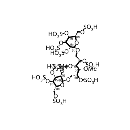 CO[C@@H]([C@H](OC)[C@@H](CO[C@@H]1O[C@H](COS(=O)(=O)O)[C@@H](OS(=O)(=O)O)[C@H](OS(=O)(=O)O)[C@H]1OS(=O)(=O)O)OS(=O)(=O)O)[C@@H](CO[C@@H]1O[C@H](COS(=O)(=O)O)[C@@H](OS(=O)(=O)O)[C@H](OS(=O)(=O)O)[C@H]1OS(=O)(=O)O)OS(=O)(=O)O